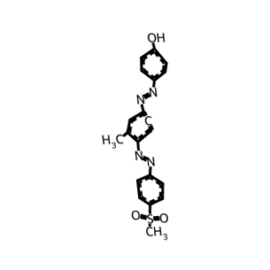 Cc1cc(N=Nc2ccc(O)cc2)ccc1N=Nc1ccc(S(C)(=O)=O)cc1